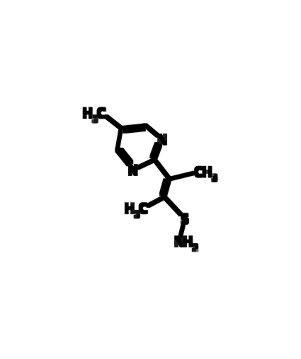 C/C(SN)=C(/C)c1ncc(C)cn1